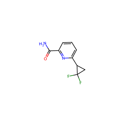 NC(=O)c1cccc(C2CC2(F)F)n1